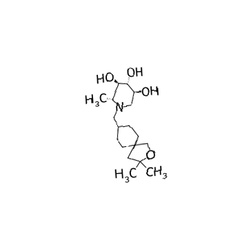 C[C@@H]1[C@@H](O)[C@H](O)[C@@H](O)CN1CC1CCC2(CC1)COC(C)(C)C2